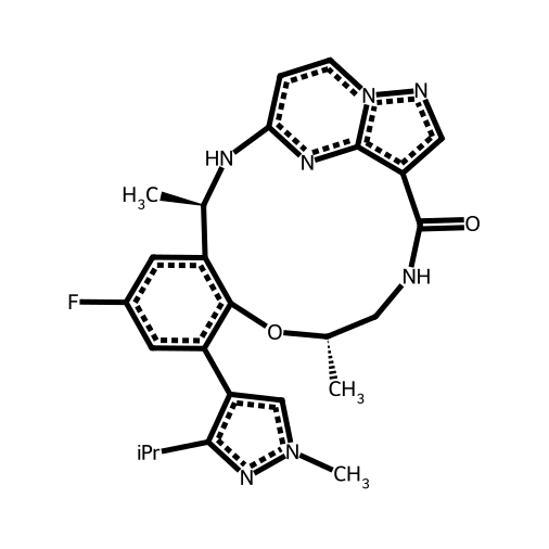 CC(C)c1nn(C)cc1-c1cc(F)cc2c1O[C@@H](C)CNC(=O)c1cnn3ccc(nc13)N[C@@H]2C